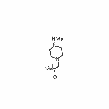 CNN1CCN(C[SH](=O)=O)CC1